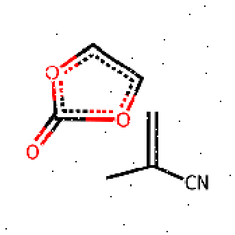 C=C(C)C#N.O=c1occo1